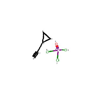 C#CC1CC1.O=P(Cl)(Cl)Cl